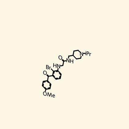 COc1ccc(C(=O)c2cccc(NCC(=O)NCC3CCN(C(C)C)CC3)c2Br)cc1